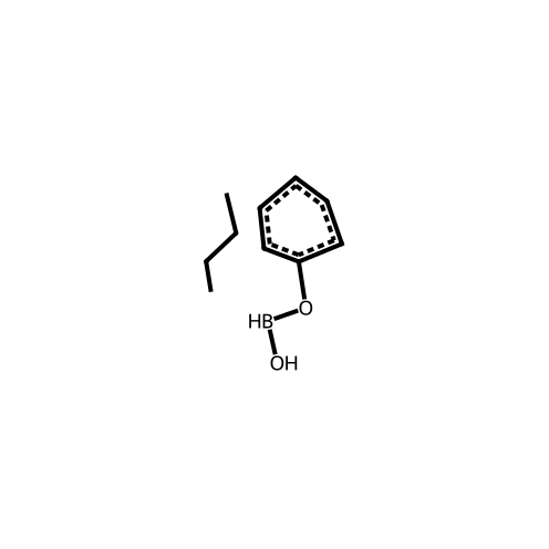 CCCC.OBOc1ccccc1